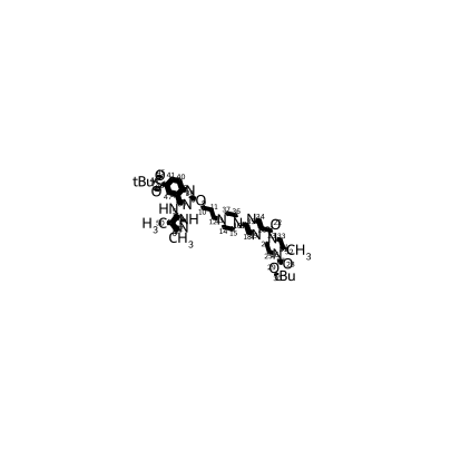 Cc1n[nH]c(Nc2nc(OCCCN3CCN(c4cnc(C(=O)N5CCN(C(=O)OC(C)(C)C)[C@H](C)C5)cn4)CC3)nc3ccc(S(=O)(=O)C(C)(C)C)cc23)c1C